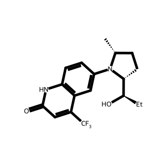 CC[C@@H](O)[C@H]1CC[C@@H](C)N1c1ccc2[nH]c(=O)cc(C(F)(F)F)c2c1